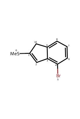 CSC1=Cc2c(Br)cccc2C1